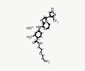 Cc1cc(Nc2nccn3c(-c4c[nH]nc4C(F)(F)F)cnc23)ccc1C(=O)NCCOCCN.Cl